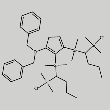 CCCC([Si](C)(C)Cl)[Si](C)(C)C1=CC[C]([Zr]([CH2]c2ccccc2)[CH2]c2ccccc2)=C1[Si](C)(C)C(CCC)[Si](C)(C)Cl